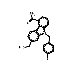 CCc1c[c]c2c3c(C(N)=O)cccc3n(Cc3ccc(F)cc3)c2c1